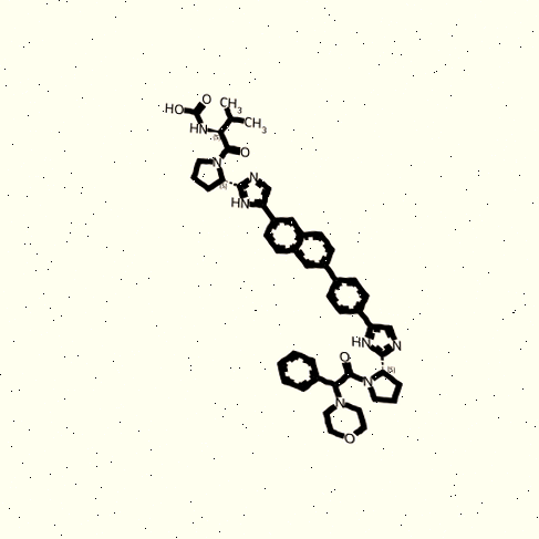 CC(C)[C@H](NC(=O)O)C(=O)N1CCC[C@H]1c1ncc(-c2ccc3cc(-c4ccc(-c5cnc([C@@H]6CCCN6C(=O)C(c6ccccc6)N6CCOCC6)[nH]5)cc4)ccc3c2)[nH]1